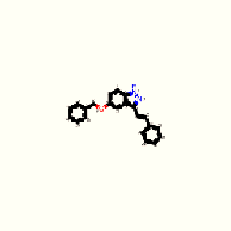 C(=C\c1n[nH]c2ccc(OCc3ccccc3)cc12)/c1ccccc1